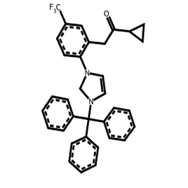 O=C(Cc1cc(C(F)(F)F)ccc1N1C=CN(C(c2ccccc2)(c2ccccc2)c2ccccc2)C1)C1CC1